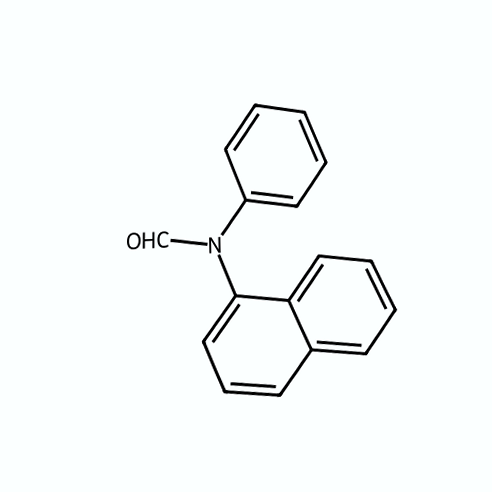 O=CN(c1ccccc1)c1cccc2ccccc12